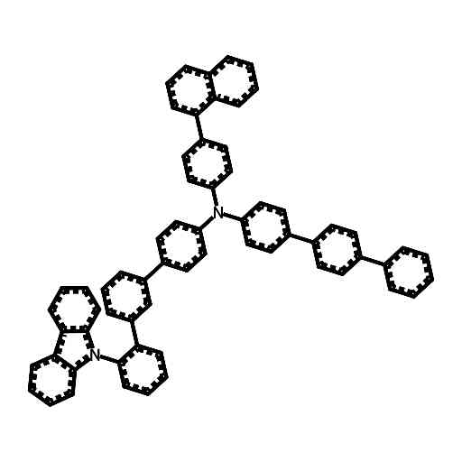 c1ccc(-c2ccc(-c3ccc(N(c4ccc(-c5cccc(-c6ccccc6-n6c7ccccc7c7ccccc76)c5)cc4)c4ccc(-c5cccc6ccccc56)cc4)cc3)cc2)cc1